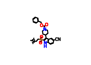 C[Si](C)(C)CCS(=O)(=O)c1[nH]c2ccc(C#N)cc2c1C1CCN(C(=O)OCc2ccccc2)CC1